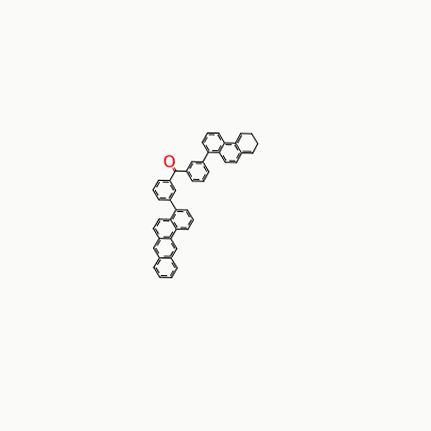 O=C(c1cccc(-c2cccc3c4c(ccc23)=CCCC=4)c1)c1cccc(-c2cccc3c2ccc2cc4ccccc4cc23)c1